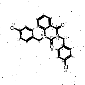 O=c1c2ccccc2n(Cc2ccc(Cl)cc2)c(=O)n1Cc1ccc(Cl)cc1